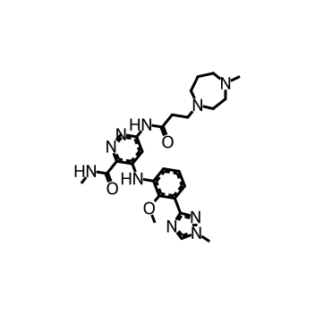 CNC(=O)c1nnc(NC(=O)CCN2CCCN(C)CC2)cc1Nc1cccc(-c2ncn(C)n2)c1OC